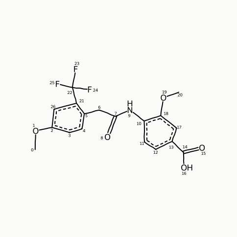 COc1ccc(CC(=O)Nc2ccc(C(=O)O)cc2OC)c(C(F)(F)F)c1